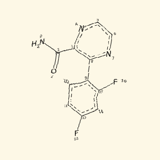 NC(=O)c1nccnc1-c1ccc(F)cc1F